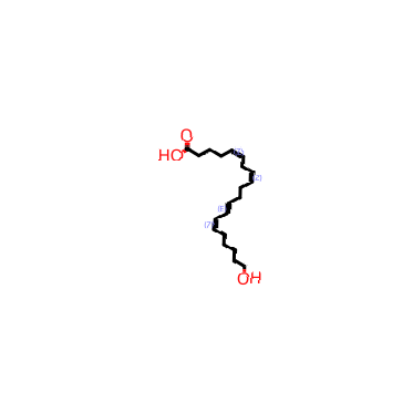 O=C(O)CCC/C=C\C/C=C\CC/C=C/C=C\CCCCCO